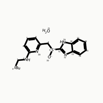 CC(C)(C)CNc1cccc(C[S+]([O-])c2nc3ccccc3[nH]2)n1.O